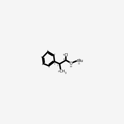 CC(c1ccccc1)C(Cl)OC(C)(C)C